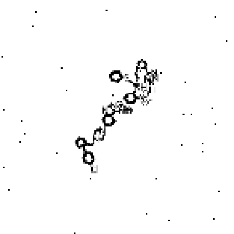 O=[N+]([O-])c1cc(S(=O)(=O)Nc2ncnc3cc(N4CCN(Cc5ccccc5-c5ccc(Cl)cc5)CC4)ccc23)ccc1N[C@H](CCN1CCCC1c1nn[nH]n1)CSc1ccccc1